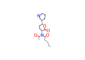 CCCCC(=O)N(C(C)=O)c1ccc(-c2cccnc2)oc1=O